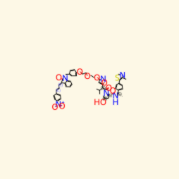 Cc1ncsc1-c1ccc([C@H](C)NC(=O)[C@@H]2C[C@@H](O)CN2C(=O)[C@H](c2cc(OCCOCCOc3ccc(CN4C(=O)/C(=C/C=C/c5ccc([N+](=O)[O-])cc5)c5ccccc54)cc3)no2)C(C)C)cc1